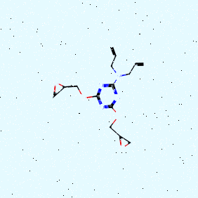 C=CCN(CC=C)c1nc(OCC2CO2)nc(OCC2CO2)n1